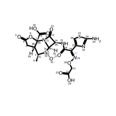 C[C@H]1[C@@H]2CC(=O)O[C@]2(C(=O)O)N2C(=O)[C@@H](NC(=O)/C(=N\OCC(=O)O)c3csc(N)n3)[C@H]2[S@+]1[O-]